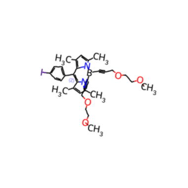 COCCOCC#CB(C#CCOCCOC)n1c(C)cc(C)c1/C(=C1\N=C(C)C=C1C)c1ccc(I)cc1